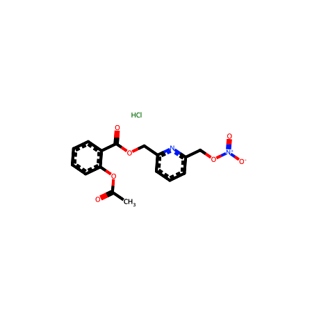 CC(=O)Oc1ccccc1C(=O)OCc1cccc(CO[N+](=O)[O-])n1.Cl